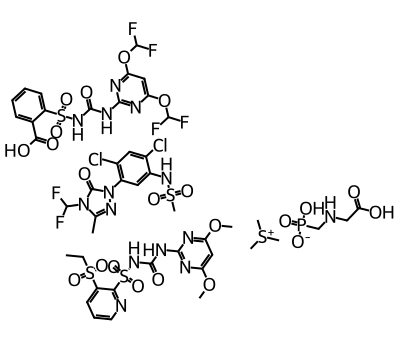 CCS(=O)(=O)c1cccnc1S(=O)(=O)NC(=O)Nc1nc(OC)cc(OC)n1.C[S+](C)C.Cc1nn(-c2cc(NS(C)(=O)=O)c(Cl)cc2Cl)c(=O)n1C(F)F.O=C(Nc1nc(OC(F)F)cc(OC(F)F)n1)NS(=O)(=O)c1ccccc1C(=O)O.O=C(O)CNCP(=O)([O-])O